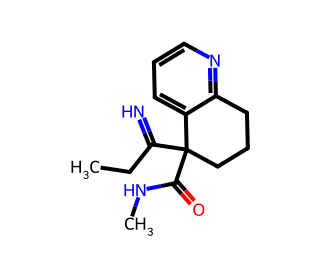 CCC(=N)C1(C(=O)NC)CCCc2ncccc21